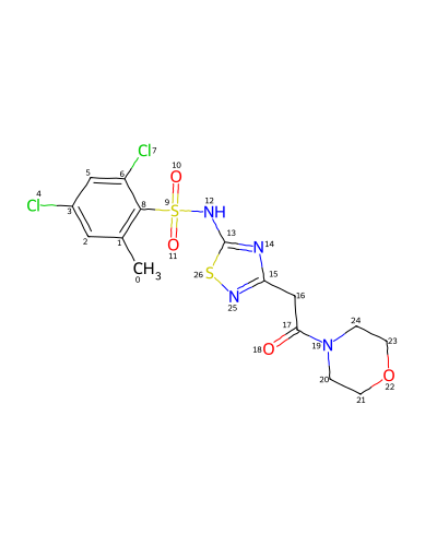 Cc1cc(Cl)cc(Cl)c1S(=O)(=O)Nc1nc(CC(=O)N2CCOCC2)ns1